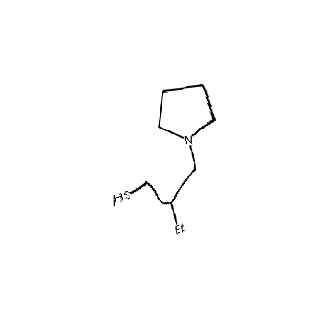 CCC(CS)CN1CCCC1